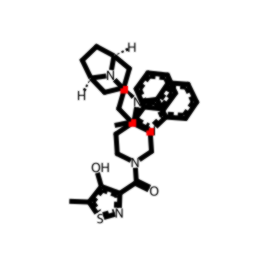 Cc1snc(C(=O)N2CCC(CCN3[C@@H]4CC[C@H]3C[C@@H](n3c(C)nc5ccccc53)C4)(c3ccccc3)CC2)c1O